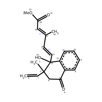 C=CC1(C)CC(=O)c2ccccc2C1(O)/C=C/C(C)=C/C(=O)OC